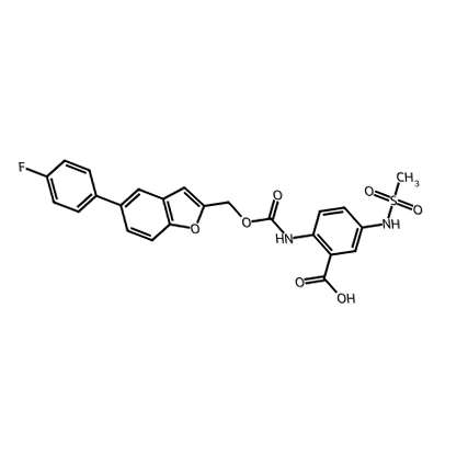 CS(=O)(=O)Nc1ccc(NC(=O)OCc2cc3cc(-c4ccc(F)cc4)ccc3o2)c(C(=O)O)c1